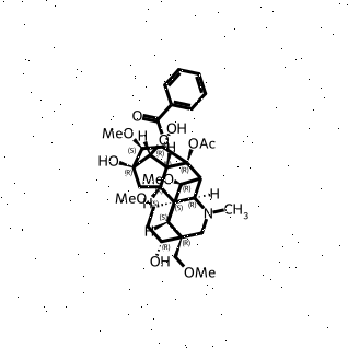 COC[C@]12CN(C)[C@@H]3C4[C@H](OC)[C@H]1[C@@]3([C@@H](OC)C[C@H]2O)[C@@H]1C[C@@]2(O)[C@H](OC(=O)c3ccccc3)[C@@H]1[C@]4(OC(C)=O)[C@@H](O)[C@@H]2OC